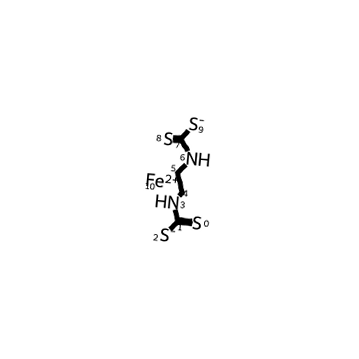 S=C([S-])NCCNC(=S)[S-].[Fe+2]